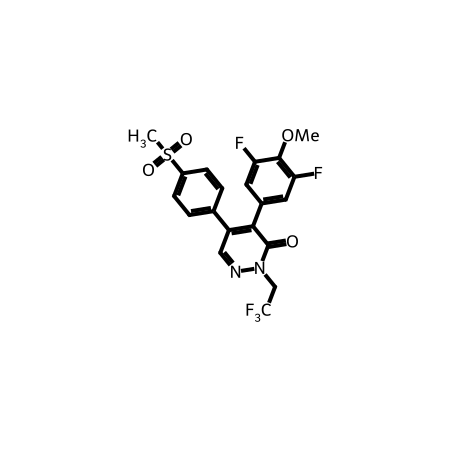 COc1c(F)cc(-c2c(-c3ccc(S(C)(=O)=O)cc3)cnn(CC(F)(F)F)c2=O)cc1F